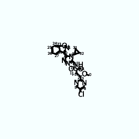 CO[C@H](c1ncc(Cl)cn1)[C@H](C)S(=O)(=O)Nc1nnc(-c2noc3ccccc23)n1C1CC1